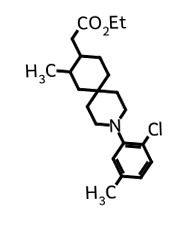 CCOC(=O)CC1CCC2(CCN(c3cc(C)ccc3Cl)CC2)CC1C